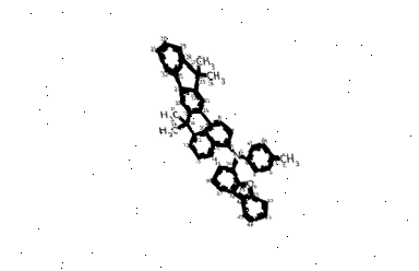 Cc1ccc(N(c2ccc3c4c(cccc24)C(C)(C)c2cc4c(cc2-3)C(C)(C)c2ccccc2-4)c2cccc3c2oc2ccccc23)cc1